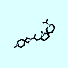 CC(C)N1CCCC2(CCC(CC(C)N3CC4(CCN(C)CC4)C3)N2C)C1